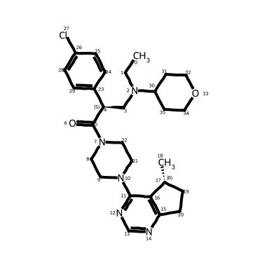 CCN(C[C@@H](C(=O)N1CCN(c2ncnc3c2[C@H](C)CC3)CC1)c1ccc(Cl)cc1)C1CCOCC1